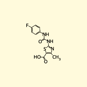 Cc1nc(NC(=O)Nc2ccc(F)cc2)sc1C(=O)O